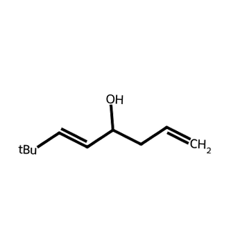 C=CCC(O)C=CC(C)(C)C